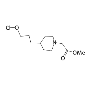 COC(=O)CN1CCC(CCCOCl)CC1